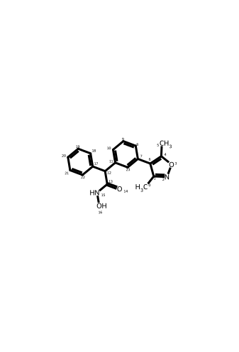 Cc1noc(C)c1-c1cccc(C(C(=O)NO)c2ccccc2)c1